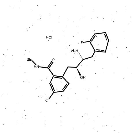 CC(C)(C)NC(=O)c1cc(Cl)ccc1C[C@H](O)[C@H](N)Cc1ccccc1F.Cl